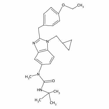 CCOc1ccc(Cc2nc3cc(N(C)C(=O)NC(C)(C)C)ccc3n2CC2CC2)cc1